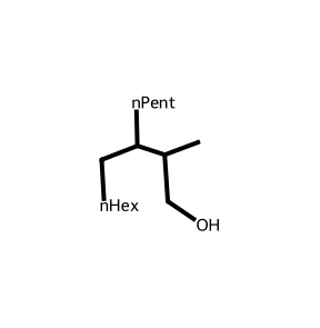 CCCCCCCC(CCCCC)C(C)CO